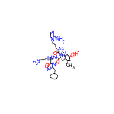 Cc1cc(O)cc(C)c1CC(NC(=O)C(N)CCCn1ccnc1N)C(=O)N[C@@H](CCCN)c1nc(CC2CCCCC2)no1